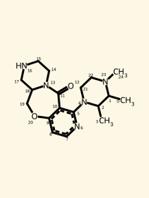 CC1C(C)N(c2nccc3c2C(=O)N2CCNCC2CO3)CCN1C